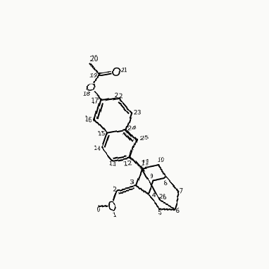 COC=C1C2CC3CC(C2)CC1(c1ccc2cc(OC(C)=O)ccc2c1)C3